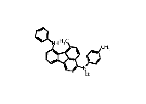 CCN(c1ccc(C)cc1)c1ccc2c3c(c(C)ccc13)-c1c(Nc3ccccc3)cccc1-2